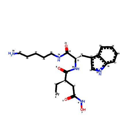 CC(C)C[C@H](CC(=O)NO)C(=O)N[C@@H](Cc1c[nH]c2ccccc12)C(=O)NCCCCCN